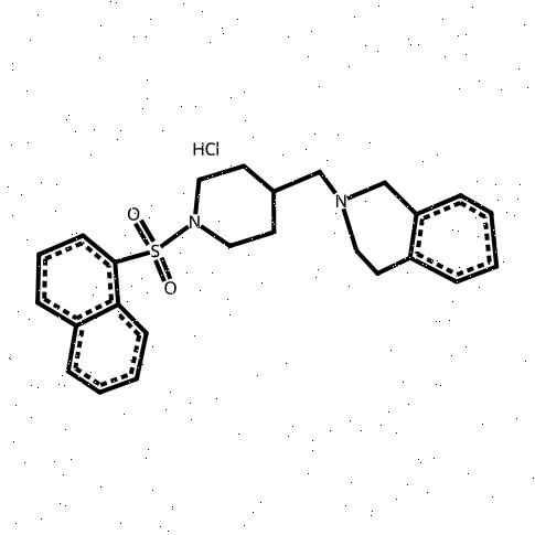 Cl.O=S(=O)(c1cccc2ccccc12)N1CCC(CN2CCc3ccccc3C2)CC1